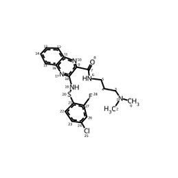 CN(C)CCCNC(=O)c1nc2ccccc2nc1NSc1ccc(Cl)cc1F